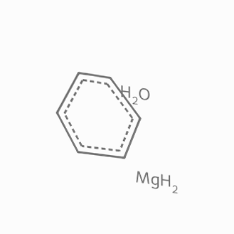 O.[MgH2].c1ccccc1